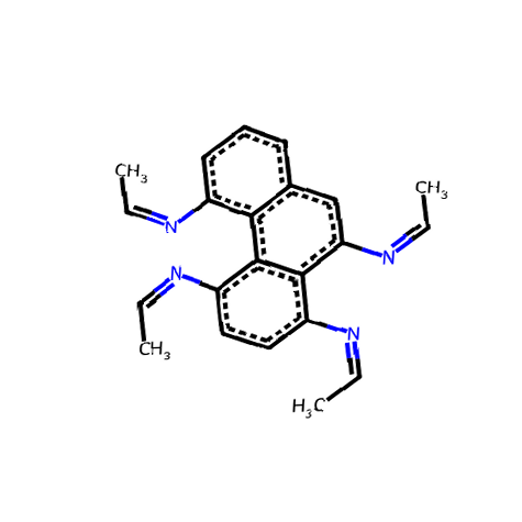 C/C=N\c1ccc(/N=C\C)c2c1c(/N=C\C)cc1cccc(/N=C\C)c12